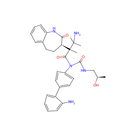 C[C@@H](O)CNC(=O)N(C(=O)C(C)([C@H]1CCc2ccccc2NC1=O)C(C)(C)N)c1ccc(-c2ccccc2N)cc1